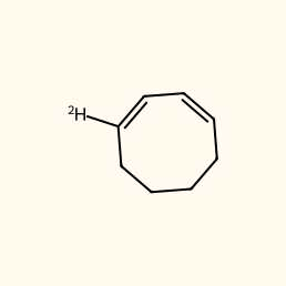 [2H]C1=CC=CCCCC1